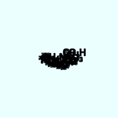 CC(C)(c1ccccc1C1CCN(Cc2cn(Cc3ccccn3)nn2)CC1)[C@H](N)C(=O)O